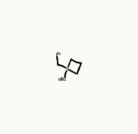 CCCC[Si]1(CC(C)C)CCC1